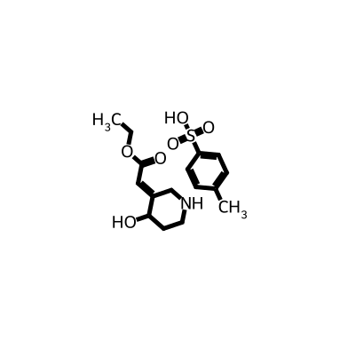 CCOC(=O)C=C1CNCCC1O.Cc1ccc(S(=O)(=O)O)cc1